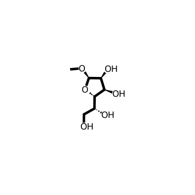 CO[C@@H]1O[C@@H]([C@H](O)CO)[C@H](O)[C@@H]1O